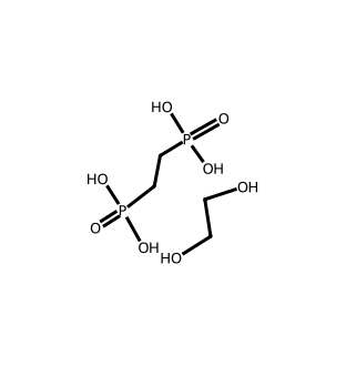 O=P(O)(O)CCP(=O)(O)O.OCCO